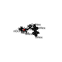 CCCCCCCCN1C(=O)c2c(C)sc(-c3cc4c(s3)-c3sc(-c5sc(-c6cc7c(s6)-c6cc8c(cc6C7(c6ccc(CCCCCC)cc6)c6ccc(CCCCCC)cc6)-c6sc(C)cc6C8(c6ccc(CCCCCC)cc6)c6ccc(CCCCCC)cc6)c6c5C(=O)N(CCCCCCCC)C6=O)cc3[Si]4(CC(CC)CCCC)CC(CC)CCCC)c2C1=O